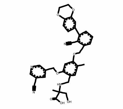 Cc1cc(CNC(C)(CO)C(=O)O)c(OCc2cncc(C#N)c2)cc1OCc1cccc(-c2ccc3c(c2)OCCO3)c1C#N